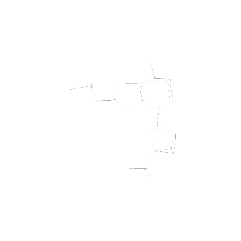 CC(=O)c1ccc(-c2ccc(Cl)c3c2CC(CNCl)O3)s1